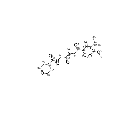 COC(=O)C(NC(=O)C(=O)CNC(=O)CNC(=O)N1CCOCC1)C(C)C